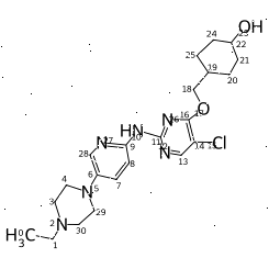 CCN1CCN(c2ccc(Nc3ncc(Cl)c(OCC4CCC(O)CC4)n3)nc2)CC1